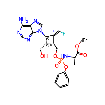 CC(C)OC(=O)C(C)NP(=O)(OC[C@@H]1/C(=C\F)[C@H](n2cnc3c(N)ncnc32)[C@H]1CO)Oc1ccccc1